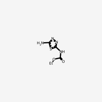 CCOC(=O)Nc1nnc(N)s1